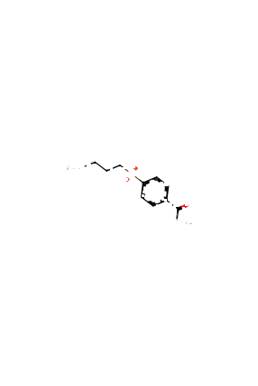 CCCCCCCCCCCCS(=O)(=O)c1ccc(C(=O)OC)cc1